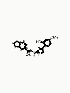 COc1ccc(-c2csc(NN=C(C)c3ccc4c(c3)CCC4)n2)c(O)c1